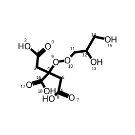 O=C(O)CC(CC(=O)O)(OOCC(O)CO)C(=O)O